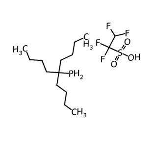 CCCCC(P)(CCCC)CCCC.O=S(=O)(O)C(F)(F)C(F)F